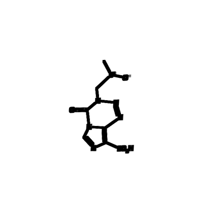 C[S+]([O-])Cn1nnc2c(S(=O)(=O)O)ncn2c1=O